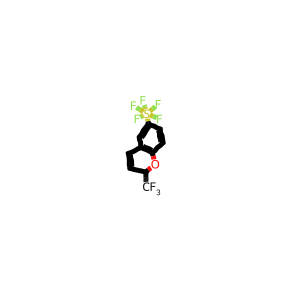 FC(F)(F)C1C=Cc2cc(S(F)(F)(F)(F)F)ccc2O1